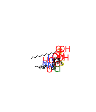 CCCCCCCCCCCCOS(=O)(=O)O.CCC[C@@H]1C[C@@H](C(=O)N[C@@H]([C@H]2O[C@H](SC)[C@H](O)[C@@H](O)[C@H]2O)[C@H](C)Cl)N(C)C1